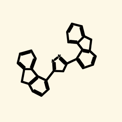 c1ccc2c(c1)Cc1cccc(C3=NN=C(c4cccc5c4-c4ccccc4C5)C3)c1-2